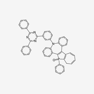 O=P1(c2ccccc2)C2=C(C=CC=CC2)C2=C1c1ccccc1N(c1cccc(-c3nc(-c4ccccc4)nc(-c4ccccc4)n3)c1)c1ccccc12